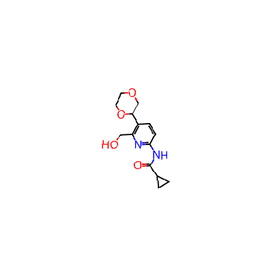 O=C(Nc1ccc(C2COCCO2)c(CO)n1)C1CC1